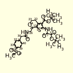 CC(C)(C)OC(=O)C(=O)Nc1sc2c(c1C(=O)OC(C)(C)C)CCOC2CNC(=O)Cc1ccc(S(C)(=O)=O)cc1